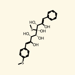 CSc1ccc(C=C(O)[C@H](O)[C@@H](O)[C@@](O)(SC)[C@H](O)C(O)=Cc2ccccc2)cc1